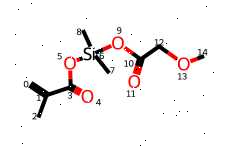 C=C(C)C(=O)O[Si](C)(C)OC(=O)COC